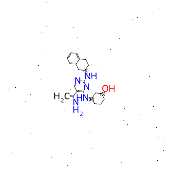 C=C(N)c1cnc(N[C@H]2CCc3ccccc3C2)nc1N[C@@H]1CCC[C@H](O)C1